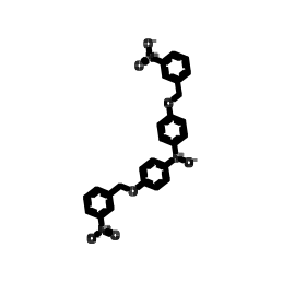 O=[N+]([O-])c1cccc(COc2ccc([S+]([O-])c3ccc(OCc4cccc([N+](=O)[O-])c4)cc3)cc2)c1